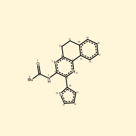 CCC(C)C(=O)Nc1nc2c(nc1-c1cccs1)-c1ccccc1CC2